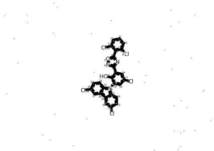 Oc1c(-c2noc(-c3c(Cl)cccc3Cl)n2)cc(Cl)cc1-n1c2ccc(Cl)cc2c2cc(Cl)ccc21